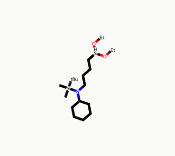 CCO[SiH](CCCCN(C1CCCCC1)[Si](C)(C)C(C)(C)C)OCC